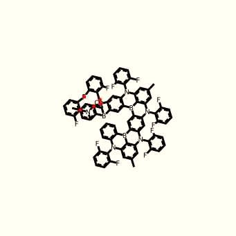 Cc1cc2c3c(c1)N(c1c(F)cccc1F)c1cc4c(cc1B3c1ccccc1N2c1c(F)cccc1F)B1c2cc3c(cc2N(c2c(F)cccc2F)c2cc(C)cc(c21)N4c1c(F)cccc1F)N(c1c(F)cccc1F)c1cc(C)cc2c1B3c1ccccc1N2c1c(F)cccc1F